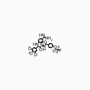 COc1cc(C(Nc2ccc(C(=N)N)cc2)C(=O)NNC(=O)c2ccc(OC(=O)C(F)(F)F)cc2)cc(OC)c1OC